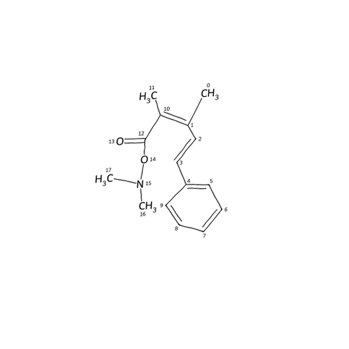 CC(C=Cc1ccccc1)=C(C)C(=O)ON(C)C